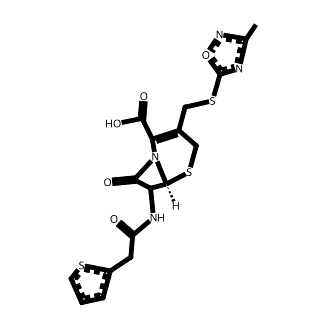 Cc1noc(SCC2=C(C(=O)O)N3C(=O)C(NC(=O)Cc4cccs4)[C@@H]3SC2)n1